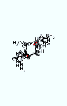 CCO[P@@]1(=O)OC[C@@]23C=CC[C@@H]2[C@@H](n2cnc4c(N)ncnc42)[C@H](O)[C@@H]3O[P@](=O)(S)OC[C@H]2O[C@@H](n3cnc4c(=O)[nH]c(N)nc43)[C@H](O1)[C@@H]2OC